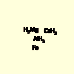 [AlH3].[CaH2].[Fe].[MgH2]